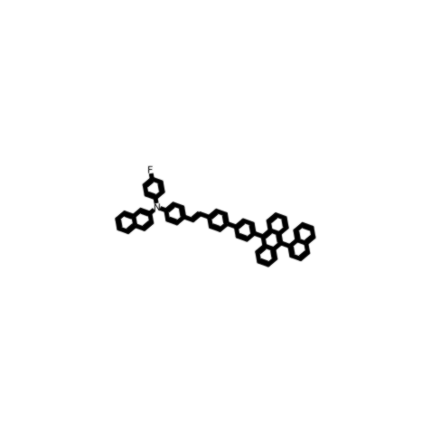 Fc1ccc(N(c2ccc(/C=C/c3ccc(-c4ccc(-c5c6ccccc6c(-c6cccc7ccccc67)c6ccccc56)cc4)cc3)cc2)c2ccc3ccccc3c2)cc1